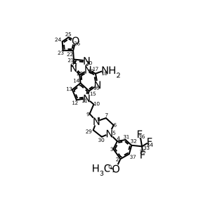 COc1cc(N2CCN(CCn3ccc4c3nc(N)n3nc(-c5ccco5)nc43)CC2)cc(C(F)(F)F)c1